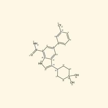 NC(=O)c1cc(-c2cccc(C(F)(F)F)c2)cc2c(C3CCS(O)(O)CC3)c[nH]c12